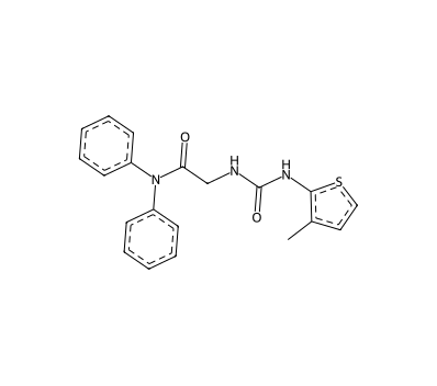 Cc1ccsc1NC(=O)NCC(=O)N(c1ccccc1)c1ccccc1